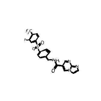 O=C(NCc1ccc(S(=O)(=O)c2ccc(C(F)(F)F)c(F)c2)cc1)c1cnc2nccn2c1